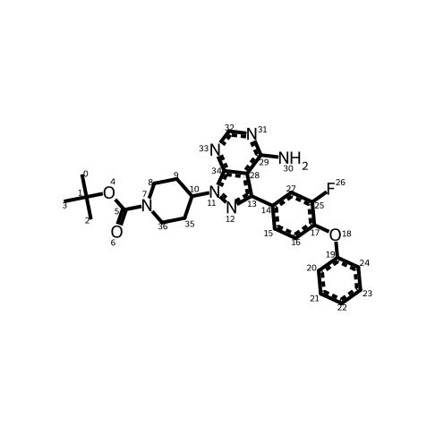 CC(C)(C)OC(=O)N1CCC(n2nc(-c3ccc(Oc4ccccc4)c(F)c3)c3c(N)ncnc32)CC1